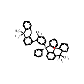 Cc1ccc([Si](c2ccccc2)(c2ccccc2)c2cccc3c2Sc2ccccc2C3(C)C)cc1-c1cccc2c1Sc1ccccc1C2(C)C